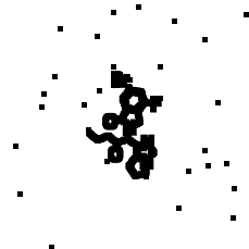 CCCC(=O)C(c1ncn2c1CCC2)N1Cc2c(F)cc(Br)cc2C1=O